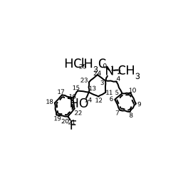 CN(C)C1(Cc2ccccc2)CCC(O)(Cc2cccc(F)c2)CC1.Cl